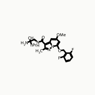 CCCC(C)(N)CNC(=O)c1c(C)nn2c(OCc3c(F)cccc3F)cc(OC)cc12